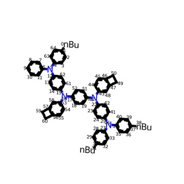 CCCCc1ccc(N(c2ccccc2)c2ccc(N(c3ccc(N(c4ccc(N(c5ccc(CCCC)cc5)c5ccc(CCCC)cc5)cc4)c4ccc5c(c4)CC5)cc3)c3ccc4c(c3)CC4)cc2)cc1